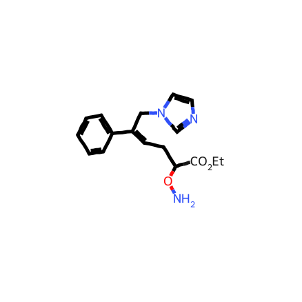 CCOC(=O)C(CC=C(Cn1ccnc1)c1ccccc1)ON